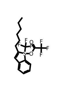 CCCCCCC1=Cc2ccccc2S1(OC(=O)C(F)(F)F)C(F)(F)F